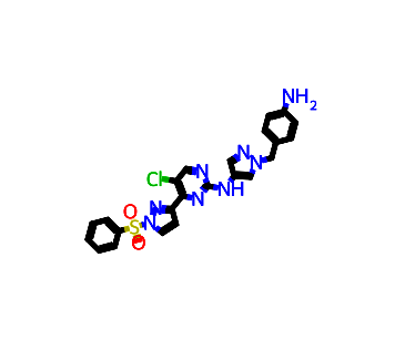 Nc1ccc(Cn2cc(Nc3ncc(Cl)c(-c4ccn(S(=O)(=O)c5ccccc5)n4)n3)cn2)cc1